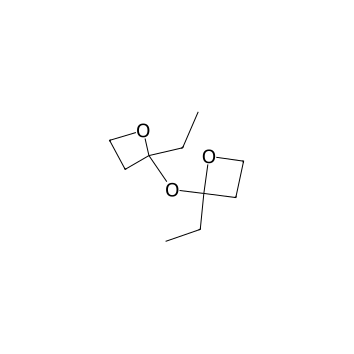 CCC1(OC2(CC)CCO2)CCO1